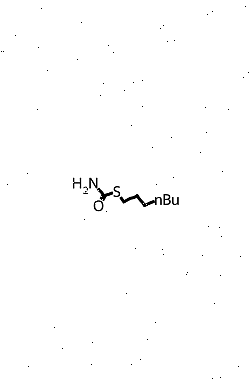 CCCCCCCSC(N)=O